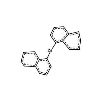 c1ccc2[c]([Zn][c]3cccc4ccccc34)cccc2c1